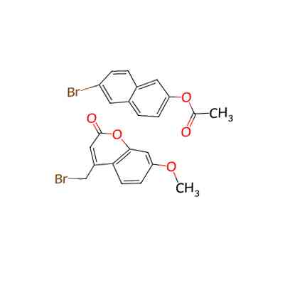 CC(=O)Oc1ccc2cc(Br)ccc2c1.COc1ccc2c(CBr)cc(=O)oc2c1